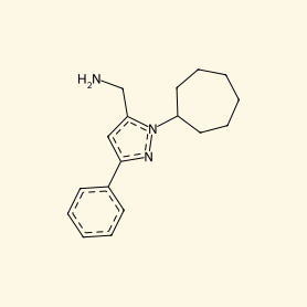 NCc1cc(-c2ccccc2)nn1C1CCCCCC1